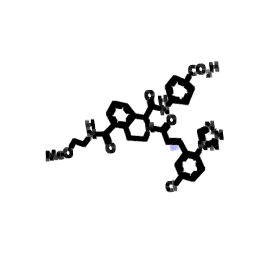 COCCNC(=O)c1cccc2c1CCN(C(=O)/C=C/c1cc(Cl)ccc1-n1cnnn1)C2C(=O)Nc1ccc(C(=O)O)cc1